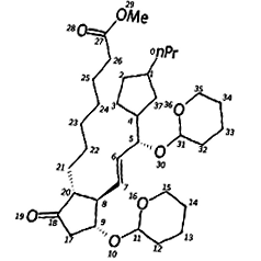 CCCC1CCC([C@@H](C=C[C@H]2[C@H](OC3CCCCO3)CC(=O)[C@@H]2CCCCCCC(=O)OC)OC2CCCCO2)C1